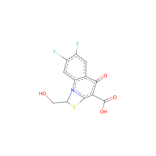 O=C(O)c1c2n(c3cc(F)c(F)cc3c1=O)C(CO)S2